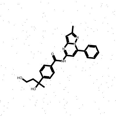 Cc1cc2nc(NC(=O)c3ccc(C(C)(O)CCO)cc3)cc(-c3ccccc3)n2n1